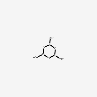 CCCCP1OP(CCC)OP(CCC)O1